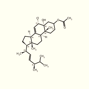 CC(=O)OC1CC[C@]2(C)[C@H]3CC[C@]4(C)[C@@H]([C@H](C)C=C[C@H](C)C(C)C)CC[C@H]4C3=C[C@H](Cl)[C@@]2(O)C1